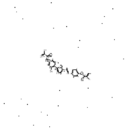 C=C(C)C(=O)Oc1ccc(/C=C/c2ccc(-c3ccc(OC(=O)C(=C)C)cc3C)o2)cc1